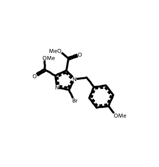 COC(=O)c1nc(Br)n(Cc2ccc(OC)cc2)c1C(=O)OC